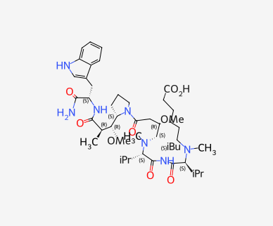 CC[C@H](C)[C@@H]([C@@H](CC(=O)N1CCC[C@H]1[C@H](OC)[C@@H](C)C(=O)N[C@@H](Cc1c[nH]c2ccccc12)C(N)=O)OC)N(C)[C@H](C(=O)NC(=O)[C@H](C(C)C)N(C)CCCCCC(=O)O)C(C)C